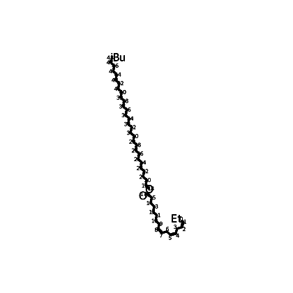 CC/C=C\C/C=C\C/C=C\CCCCCCCC(=O)OCCCCCCCCCCCCCCCCCCCCCCCCCCCCCC(C)CC